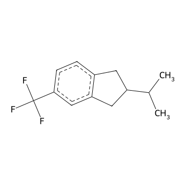 CC(C)C1Cc2ccc(C(F)(F)F)cc2C1